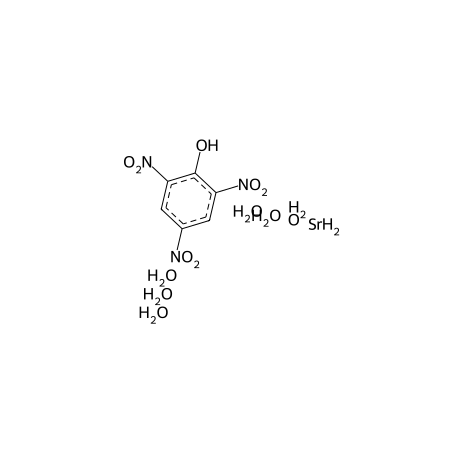 O.O.O.O.O.O.O=[N+]([O-])c1cc([N+](=O)[O-])c(O)c([N+](=O)[O-])c1.[SrH2]